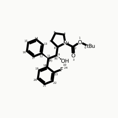 CC(C)(C)OC(=O)N1CCCC1[C@H](O)[C@H](c1ccccc1)c1ccccc1F